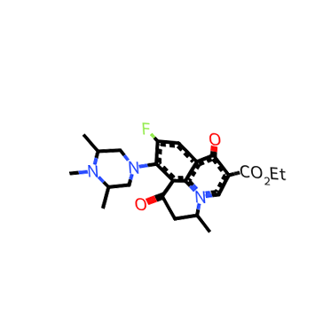 CCOC(=O)c1cn2c3c(c(N4CC(C)N(C)C(C)C4)c(F)cc3c1=O)C(=O)CC2C